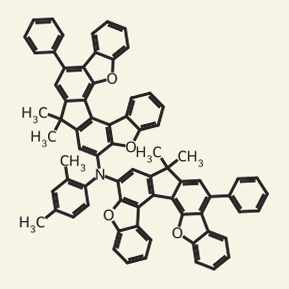 Cc1ccc(N(c2cc3c(c4c2oc2ccccc24)-c2c(cc(-c4ccccc4)c4c2oc2ccccc24)C3(C)C)c2cc3c(c4c2oc2ccccc24)-c2c(cc(-c4ccccc4)c4c2oc2ccccc24)C3(C)C)c(C)c1